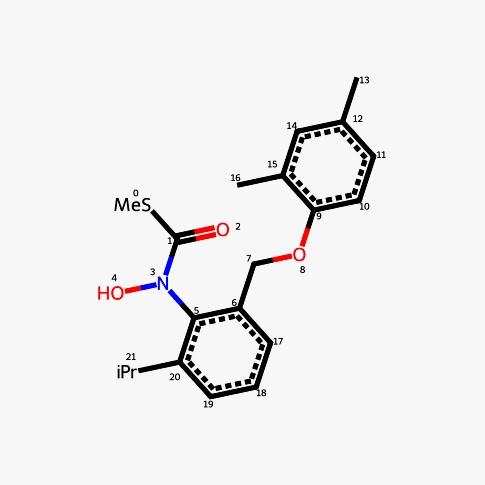 CSC(=O)N(O)c1c(COc2ccc(C)cc2C)cccc1C(C)C